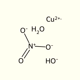 O.O=[N+]([O-])[O-].[Cu+2].[OH-]